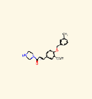 COc1cc(/C=C/C(=O)N2CCNCC2)ccc1OCc1cccc(C)c1